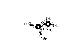 COCCOc1ccc(PC(=O)c2c(OC)cc(OC)cc2OC)c(OCCOC)c1.[LiH]